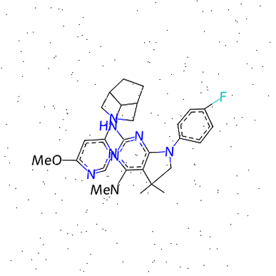 CNc1nc(NC2C3CCC2CN(c2cc(OC)ncn2)C3)nc2c1C(C)(C)CN2c1ccc(F)cc1